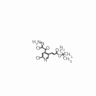 CC(C)(C)OC(=O)C=Cc1cnc(Cl)cc1C(=O)C(Cl)=NN